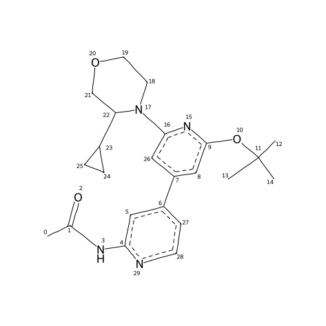 CC(=O)Nc1cc(-c2cc(OC(C)(C)C)nc(N3CCOCC3C3CC3)c2)ccn1